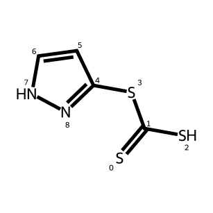 S=C(S)Sc1cc[nH]n1